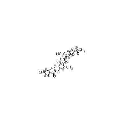 Cc1cc2c(c(Cl)c1C(=O)N[C@@H](Cc1ccc(S(C)(=O)=O)o1)C(=O)O)CCN(C(=O)c1ccc(Cl)cc1)C2